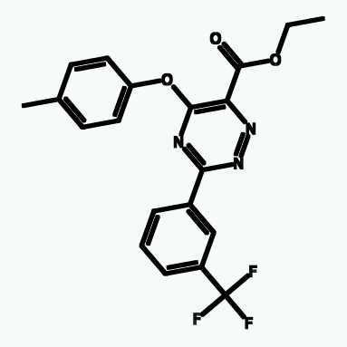 CCOC(=O)c1nnc(-c2cccc(C(F)(F)F)c2)nc1Oc1ccc(C)cc1